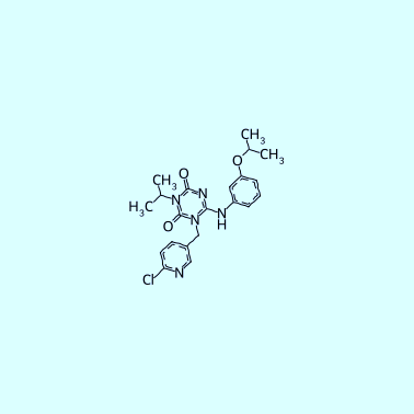 CC(C)Oc1cccc(Nc2nc(=O)n(C(C)C)c(=O)n2Cc2ccc(Cl)nc2)c1